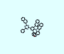 c1ccc(-c2nc(-c3cc(-c4ccccc4)c(-n4c5cc6ccccc6cc5c5ccc6ccccc6c54)c(-c4ccc5ccccc5c4)c3)nc(-c3ccc4ccccc4c3)n2)cc1